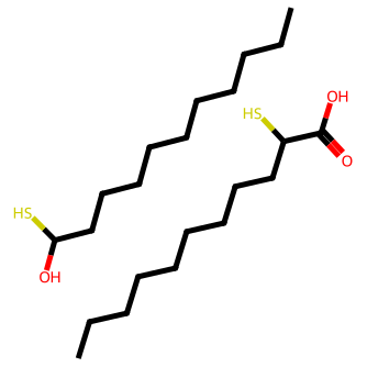 CCCCCCCCCC(S)C(=O)O.CCCCCCCCCCC(O)S